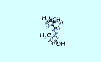 C=C1CC[C@H](O)C/C1=C/C=C1\CCC[C@@]2(C)C1CC[C@@H]2C